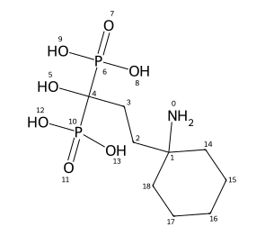 NC1(CCC(O)(P(=O)(O)O)P(=O)(O)O)CCCCC1